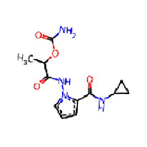 CC(OC(N)=O)C(=O)Nn1cccc1C(=O)NC1CC1